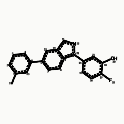 Cc1cccc(-c2ccc3c(cnn3-c3ccc(F)c(O)c3)c2)c1